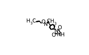 CC=CCON=C(C)c1ccc(N2C(=O)CNC2=O)cc1